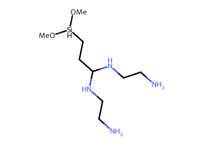 CO[SiH](CCC(NCCN)NCCN)OC